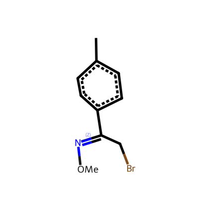 CO/N=C(\CBr)c1ccc(C)cc1